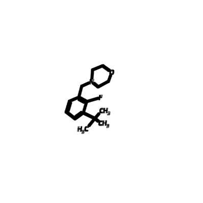 CC(C)(C)c1cccc(CN2CCOCC2)c1F